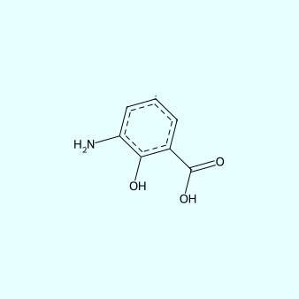 Nc1c[c]cc(C(=O)O)c1O